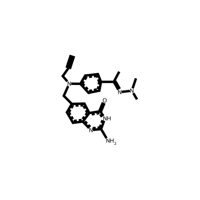 C#CCN(Cc1ccc2nc(N)[nH]c(=O)c2c1)c1ccc(C(C)=NN(C)C)cc1